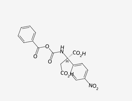 O=C(O)C[C@](NC(=O)OC(=O)c1ccccc1)(C(=O)O)c1ccc([N+](=O)[O-])cc1